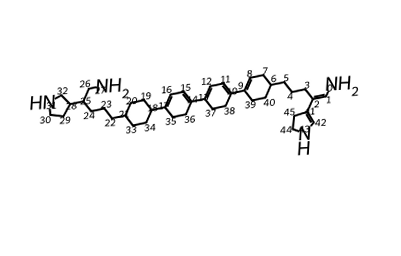 N/C=C(\CCCC1CC=C(C2=CC=C(C3=CC=C(C4CCC(CCCC(CN)C5CCNC5)CC4)CC3)CC2)CC1)C1=CNCC1